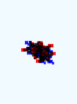 CC(=O)NCC(=O)N[C@H](CC(=O)O)C(=O)N[C@H](CC(N)=O)C(=O)N[C@H](CC(=O)O)C(=O)N[C@H](CO)C(=O)N[C@H](CCC(=O)O)C(=O)N[C@H](CC(=O)O)C(=O)N[C@H](CC(N)=O)C(=O)N[C@H](CO)C(=O)N[C@H](CC(=O)O)C(=O)N[C@H](CCC(=O)O)C(=O)N[C@H](CCC(=O)O)C(=O)N[C@H](CC(N)=O)C(N)=O